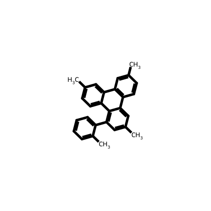 Cc1ccc2c(c1)c1cc(C)ccc1c1c(-c3ccccc3C)cc(C)cc21